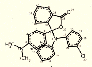 CN(C)c1ccc(C2(N(c3ccccc3)c3cccc(Cl)c3)OC(=O)c3ccccc32)cc1